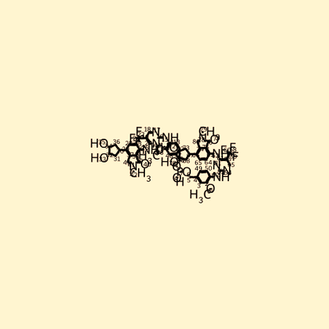 COc1cc(CO[PH](=O)OCc2ccc(Nc3ncc(C(F)(F)F)c(Nc4ccc(C5CC(O)C(O)C5)c5c4C(=O)N(C)C5)n3)c(OC)c2)ccc1Nc1ncc(C(F)(F)F)c(Nc2ccc(C3CC(O)C(O)C3)c3c2C(=O)N(C)C3)n1